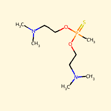 CN(C)CCOP(C)(=S)OCCN(C)C